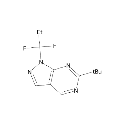 CCC(F)(F)n1ncc2cnc(C(C)(C)C)nc21